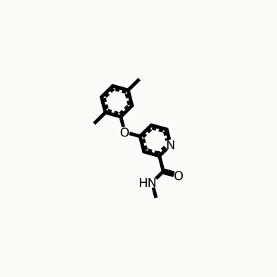 CNC(=O)c1cc(Oc2cc(C)ccc2C)ccn1